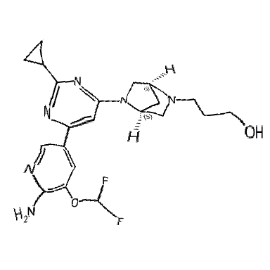 Nc1ncc(-c2cc(N3C[C@@H]4C[C@H]3CN4CCCO)nc(C3CC3)n2)cc1OC(F)F